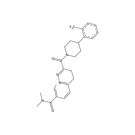 C/C=C(\C=C/C1=NN=C(C(=O)N2CCC(c3ccccc3C(F)(F)F)CC2)CC1)C(=O)N(C)C